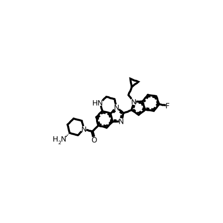 N[C@@H]1CCCN(C(=O)c2cc3c4c(c2)nc(-c2cc5cc(F)ccc5n2CC2CC2)n4CCN3)C1